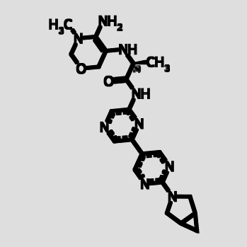 C[C@H](NC1=C(N)N(C)COC1)C(=O)Nc1cncc(-c2cnc(N3CC4CC4C3)nc2)n1